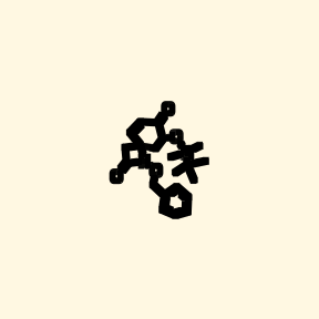 CC(C)(C)[Si](C)(C)O[C@H]1C[C@]2(C=CC1=O)CC(=O)N2OCc1ccccc1